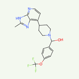 Cc1nc2c(C3CCN(C(O)c4ccc(OC(F)(F)F)cc4)CC3)ccnc2[nH]1